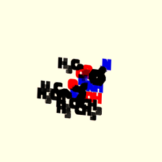 CCOP1(=O)N=C(C2=C(O)C(C(C)(C)C)N(CCC(C)(C)C)C2=O)Nc2ccc(C#N)cc21